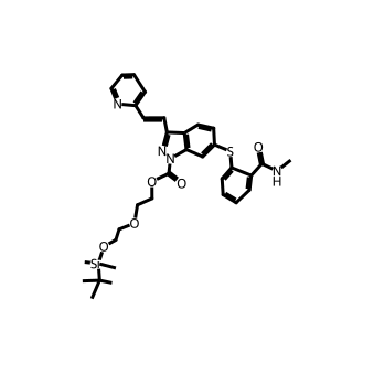 CNC(=O)c1ccccc1Sc1ccc2c(/C=C/c3ccccn3)nn(C(=O)OCCOCCO[Si](C)(C)C(C)(C)C)c2c1